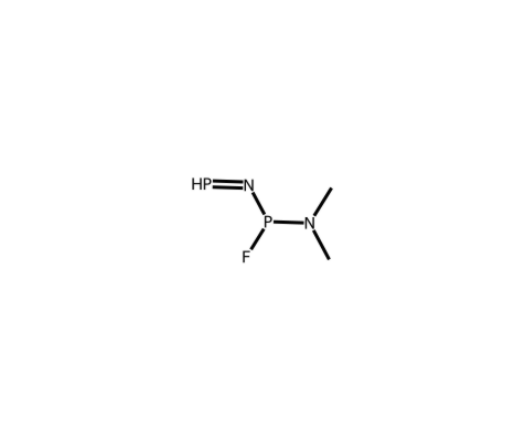 CN(C)P(F)N=P